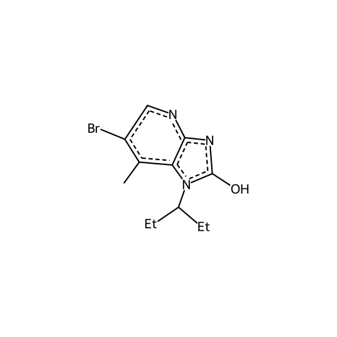 CCC(CC)n1c(O)nc2ncc(Br)c(C)c21